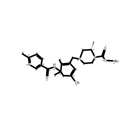 CC1=C(CN2CCN(C(=O)OC(C)(C)C)[C@@H](C)C2)C=C(C#N)CC1(C)NC(=O)c1ccc(C)nc1